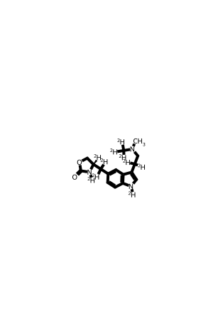 [2H]N1C(=O)OC[C@]1([2H])C([2H])([2H])c1ccc2c(c1)c(C([2H])([2H])CN(C)C([2H])([2H])[2H])cn2[2H]